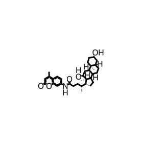 Cc1cc(=O)oc2cc(NC(=O)CC[C@@H](C)[C@H]3CC[C@H]4[C@@H]5CC[C@@H]6C[C@H](O)CC[C@]6(C)[C@H]5CC(O)[C@]34C)ccc12